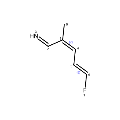 C/C(C=N)=C/C=C/F